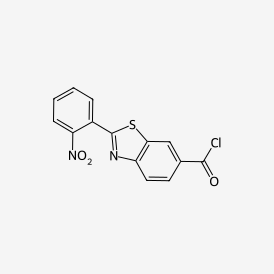 O=C(Cl)c1ccc2nc(-c3ccccc3[N+](=O)[O-])sc2c1